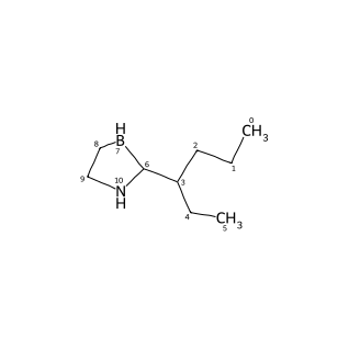 CCCC(CC)C1BCCN1